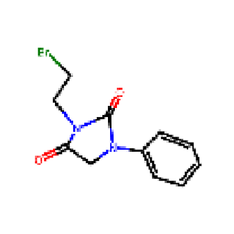 O=C1CN(c2ccccc2)C(=O)N1CCBr